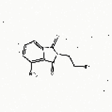 CC(C)CCN1C(=O)c2cccc([N+](=O)[O-])c2C1=O